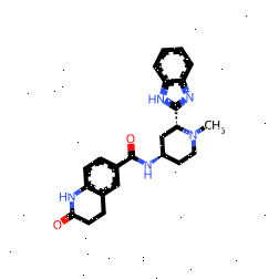 CN1CC[C@@H](NC(=O)c2ccc3c(c2)CCC(=O)N3)C[C@@H]1c1nc2ccccc2[nH]1